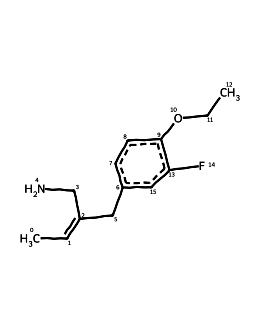 C/C=C(\CN)Cc1ccc(OCC)c(F)c1